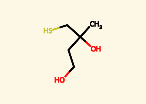 CC(O)(CS)CCO